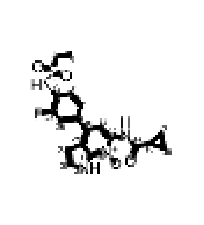 CCS(=O)(=O)Nc1ccc(-c2cc(NC(=O)C3CC3)[n+]([O-])c3[nH]ccc23)cc1F